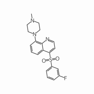 CN1CCN(c2cccc3c(S(=O)(=O)c4cccc(F)c4)ccnc23)CC1